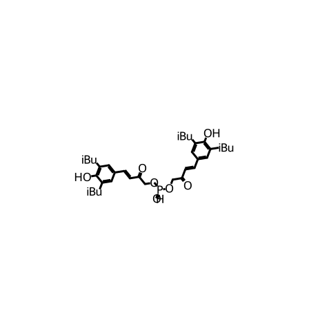 CCC(C)c1cc(/C=C/C(=O)CO[PH](=O)OCC(=O)/C=C/c2cc(C(C)CC)c(O)c(C(C)CC)c2)cc(C(C)CC)c1O